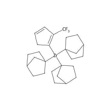 FC(F)(F)C1=[C]([Zr]([C]23CCC(CC2)C3)([C]23CCC(CC2)C3)[C]23CCC(CC2)C3)CC=C1